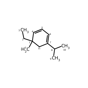 [CH2]C1(CC)C=CC=C(C(C)C)C1